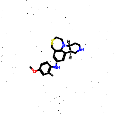 COc1ccc(Nc2cc3c4c(c2)[C@@H]2CNCC[C@@H]2N4CCSC3)c(C)c1